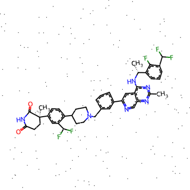 Cc1nc(N[C@H](C)c2cccc(C(F)F)c2F)c2cc(-c3cccc(CN4CCC(c5ccc([C@@]6(C)CCC(=O)NC6=O)cc5C(F)F)CC4)c3)ncc2n1